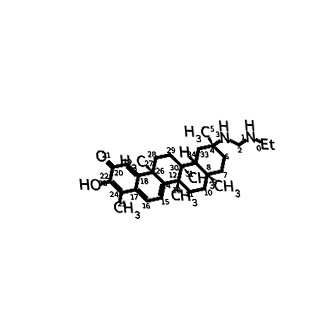 CCNCN[C@]1(C)CC[C@]2(C)CC[C@]3(C)C4=CC=C5C(=CC(=O)C(O)=C5C)[C@]4(C)CC[C@@]3(C)[C@@H]2C1